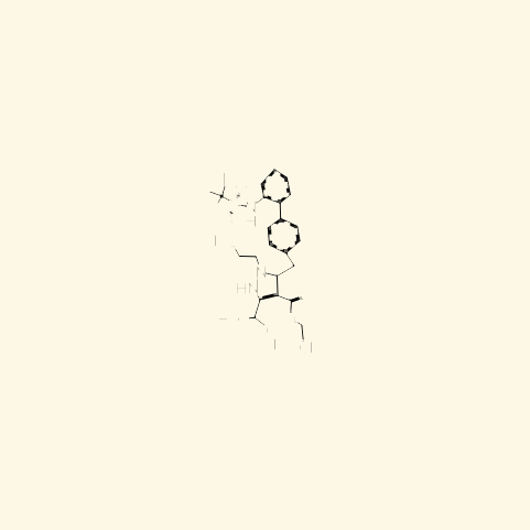 CCCN1NC(C(C)C)=C(C(=O)OCC)C1Cc1ccc(-c2ccccc2NS(=O)(=O)C(F)(F)F)cc1